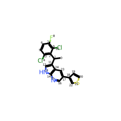 CC(c1c(Cl)ccc(F)c1Cl)c1c[nH]c2ncc(-c3ccsc3)cc12